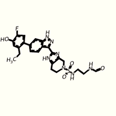 CCc1cc(O)c(F)cc1-c1ccc2c(-c3nc4c([nH]3)CCN(S(=O)(=O)NCCNC=O)C4)n[nH]c2c1